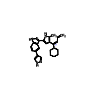 C=C/C=C(\c1cc(-c2n[nH]c3ccc(-c4cn[nH]c4)cc23)[nH]c1C)N1CCCCC1